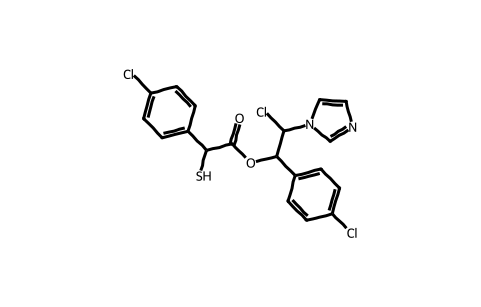 O=C(OC(c1ccc(Cl)cc1)C(Cl)n1ccnc1)C(S)c1ccc(Cl)cc1